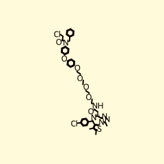 Cc1sc2c(c1C)C(c1ccc(Cl)cc1)=N[C@@H](CC(=O)NCCOCCOCCOCCOc1ccc(Oc3ccc(N(Cc4ccccc4)C(=O)CCl)cc3)cc1)c1nnc(C)n1-2